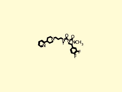 CN1C(=O)N(C(=O)N(I)CCCN2CCC(c3ccccn3)CC2)CC1c1ccc(F)c(F)c1